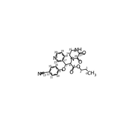 CCCOC(=O)C(C(Oc1ccc(C#N)cc1)c1cccnc1)N1CCNC(=O)C1=O